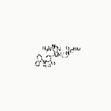 CC(C)(C)OC(=O)N1CCC[C@@H](n2cc(-c3ccc(Nc4cccc5ccccc45)c4c3OCO4)c3c(N)ncnc32)C1